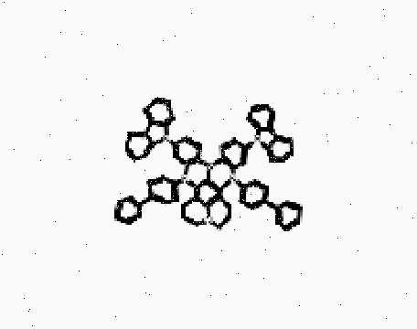 c1ccc(-c2ccc(N3c4cc(-n5c6ccccc6c6ccccc65)ccc4B4c5ccc(-n6c7ccccc7c7ccccc76)cc5N(c5ccc(-c6ccccc6)cc5)c5c6c7c(c3c54)CCCN7CCC6)cc2)cc1